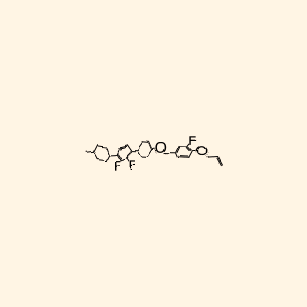 C=CCOc1ccc(COC2CCC(c3ccc(C4CCC(C)CC4)c(F)c3F)CC2)cc1F